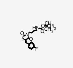 CC(C)(C)OC(=O)NCCCCN1C(=O)SC(=Cc2ccc(F)cc2)C1=O